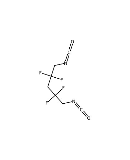 O=C=NCC(F)(F)CC(F)(F)CN=C=O